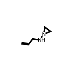 C=CCNN1CC1